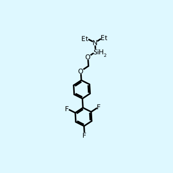 CCN(CC)[SiH2]OCOc1ccc(-c2c(F)cc(F)cc2F)cc1